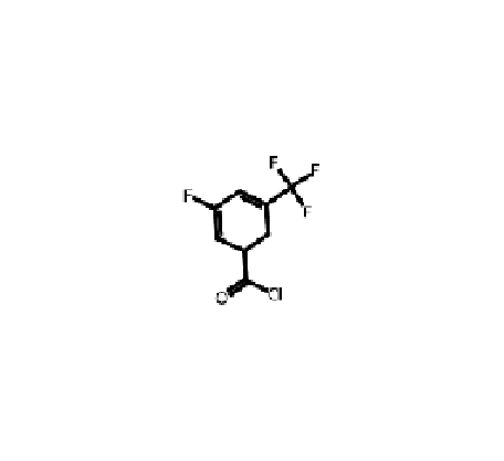 O=C(Cl)C1C=C(F)C=C(C(F)(F)F)C1